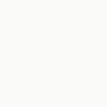 [CH2]CCC.[H+]